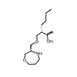 C=C(O)[C@@H](CCCC)COC[C@@H]1COCCCN1